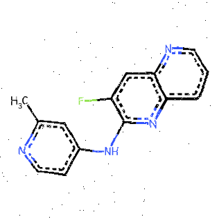 Cc1cc(Nc2nc3cccnc3cc2F)ccn1